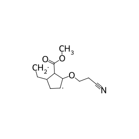 [CH2]CC1C[CH]C(OCCC#N)C1C(=O)OC